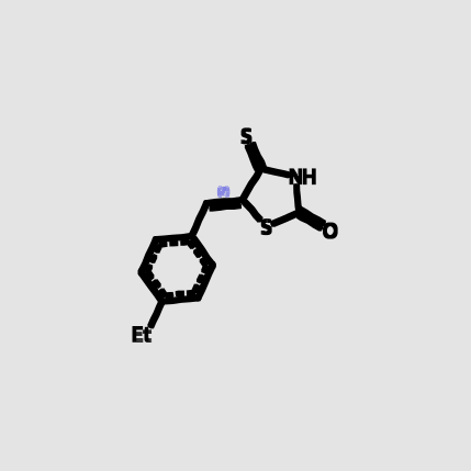 CCc1ccc(/C=C2\SC(=O)NC2=S)cc1